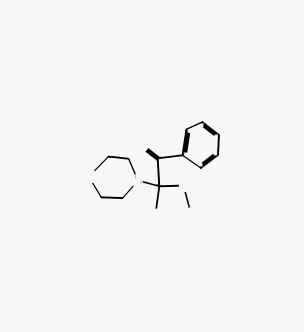 CSC(C)(C(=O)c1ccccc1)N1CCOCC1